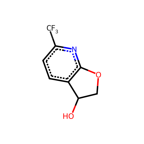 OC1COc2nc(C(F)(F)F)ccc21